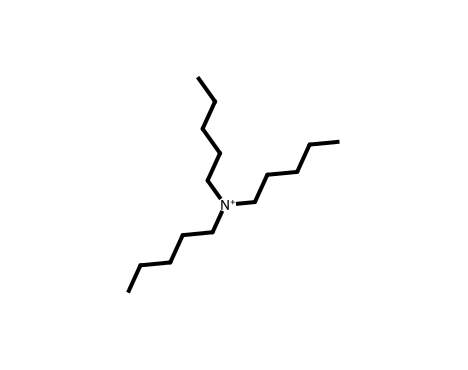 CCCCC[N+](CCCCC)CCCCC